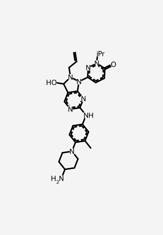 C=CCN1C(O)c2cnc(Nc3ccc(N4CCC(N)CC4)c(C)c3)nc2N1c1ccc(=O)n(C(C)C)n1